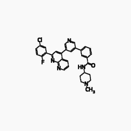 CN1CCC(NC(=O)c2cccc(-c3cncc(-c4cc(-c5cc(Cl)ccc5F)nc5ncccc45)c3)c2)CC1